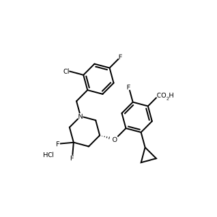 Cl.O=C(O)c1cc(C2CC2)c(O[C@H]2CN(Cc3ccc(F)cc3Cl)CC(F)(F)C2)cc1F